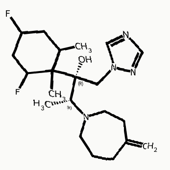 C=C1CCCN([C@H](C)[C@](O)(Cn2cncn2)C2(C)C(C)CC(F)CC2F)CC1